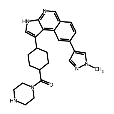 Cn1cc(-c2ccc3cnc4[nH]cc(C5CCC(C(=O)N6CCNCC6)CC5)c4c3c2)cn1